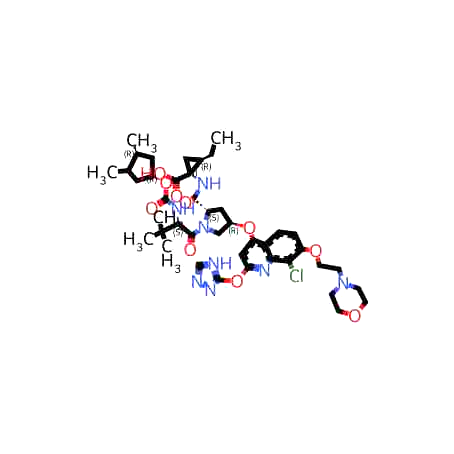 CC[C@@H]1C[C@]1(NC(=O)[C@@H]1C[C@@H](Oc2cc(Oc3nnc[nH]3)nc3c(Cl)c(OCCN4CCOCC4)ccc23)CN1C(=O)[C@@H](NC(=O)O[C@@H]1CC(C)[C@H](C)C1)C(C)(C)C)C(=O)O